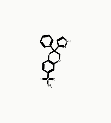 NS(=O)(=O)c1ccc2c(c1)OCC(c1ccccc1)(c1cc[nH]n1)O2